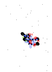 C[C@H](NC(=O)CNC(=O)OCc1ccccc1)C(=O)N[C@@H](CC(=O)O)C(=O)N[C@@H](CCN(C(=O)CO)[C@@H](c1cc(-c2cc(F)ccc2F)cn1Cc1ccccc1)C(C)(C)C)C(=O)NCCNC(=O)CN1C(=O)C=CC1=O